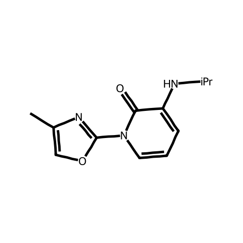 Cc1coc(-n2cccc(NC(C)C)c2=O)n1